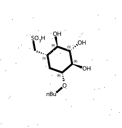 CCCCO[C@@H]1C[C@H](CS(=O)(=O)O)[C@@H](O)[C@H](O)[C@H]1O